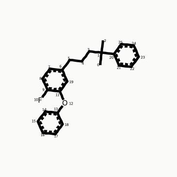 CC(C)(CCCc1ccc(F)c(Oc2ccccc2)c1)c1ccccc1